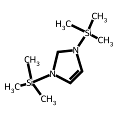 C[Si](C)(C)N1C=CN([Si](C)(C)C)C1